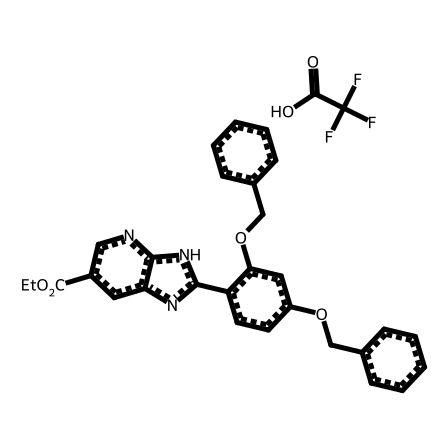 CCOC(=O)c1cnc2[nH]c(-c3ccc(OCc4ccccc4)cc3OCc3ccccc3)nc2c1.O=C(O)C(F)(F)F